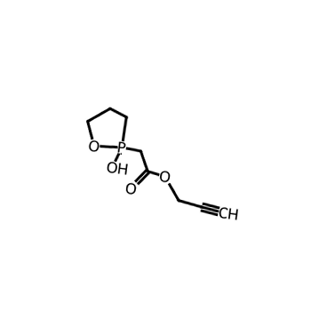 C#CCOC(=O)C[P]1(O)CCCO1